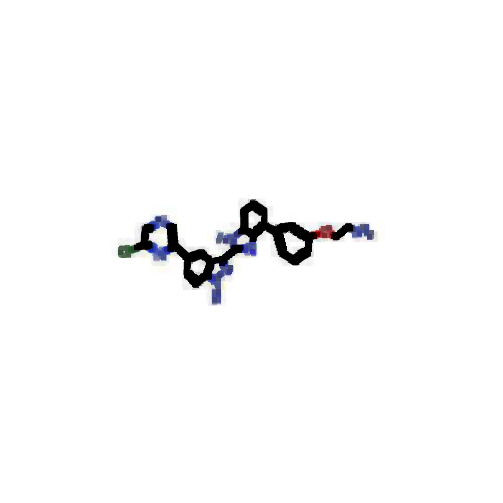 NCCOc1cccc(-c2cccc3[nH]c(-c4n[nH]c5ccc(-c6cncc(Cl)n6)cc45)nc23)c1